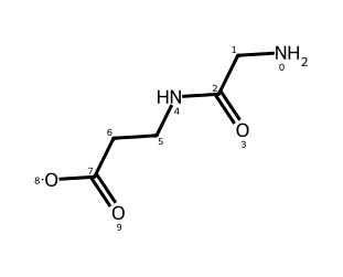 NCC(=O)NCCC([O])=O